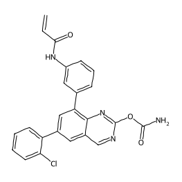 C=CC(=O)Nc1cccc(-c2cc(-c3ccccc3Cl)cc3cnc(OC(N)=O)nc23)c1